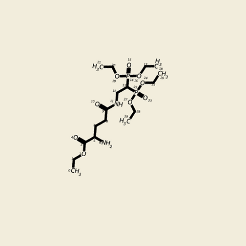 CCOC(=O)C(N)CCC(=O)NCC(P(=O)(OCC)OCC)P(=O)(OCC)OCC